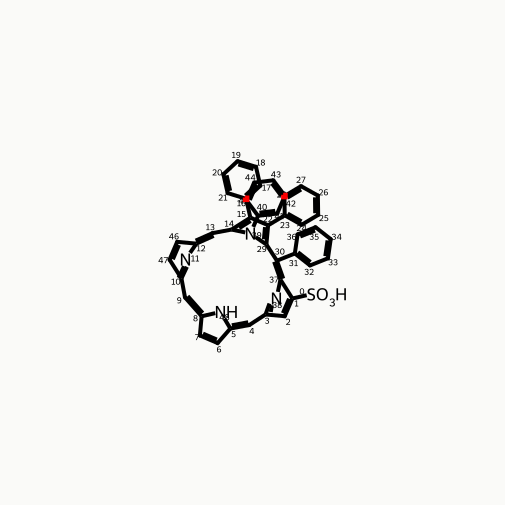 O=S(=O)(O)C1=Cc2cc3ccc(cc4nc(cc5c(-c6ccccc6)c(-c6ccccc6)c(c(-c6ccccc6)c1n2)n5-c1ccccc1)C=C4)[nH]3